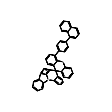 c1ccc2c(c1)Sc1c(-c3ccc(-c4cccc5ccccc45)cc3)cccc1C21c2ccccc2-n2c3ccccc3c3cccc1c32